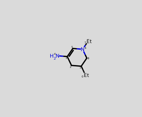 CCC1CC(N)=CN(CC)C1